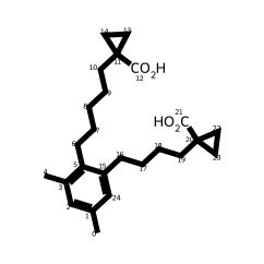 Cc1cc(C)c(CCCCCC2(C(=O)O)CC2)c(CCCCC2(C(=O)O)CC2)c1